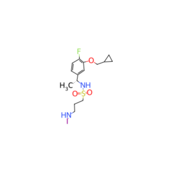 C[C@@H](NS(=O)(=O)CCCNI)c1ccc(F)c(OCC2CC2)c1